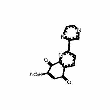 CC(=O)NC1=CC(=O)c2ccc(-c3cnccn3)nc2C1=O